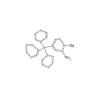 O=[N+]([O-])c1cc(C(c2ccccc2)(c2ccccc2)c2ccccc2)ccc1O